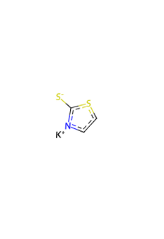 [K+].[S-]c1nccs1